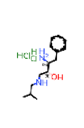 CC(C)CNC[C@@H](O)[C@@H](N)Cc1ccccc1.Cl.Cl